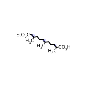 CCOC(=O)/C=C(\C)CC/C=C(\C)CC/C=C(\C)C(=O)O